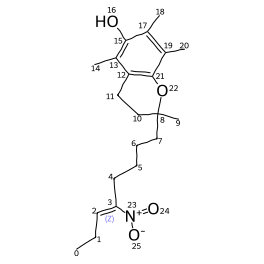 CC/C=C(/CCCCC1(C)CCc2c(C)c(O)c(C)c(C)c2O1)[N+](=O)[O-]